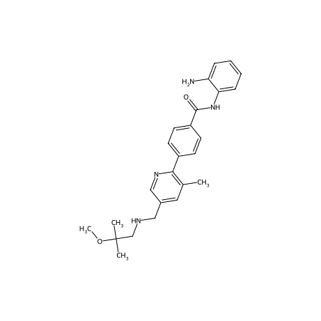 COC(C)(C)CNCc1cnc(-c2ccc(C(=O)Nc3ccccc3N)cc2)c(C)c1